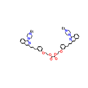 CCN1CCN(c2nc(C=CCc3cccc(OCCOC(=O)C(=O)OCCOc4cccc(CC=Cc5cc6ccccc6c(N6CCN(CC)CC6)n5)c4)c3)cc3ccccc23)CC1